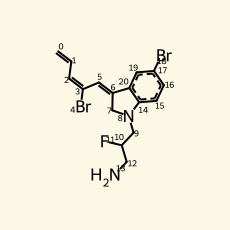 C=C/C=C(Br)\C=C1/CN(CC(F)CN)c2ccc(Br)cc21